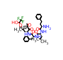 CC(C)C[C@H](NC(=O)[C@@H](N)CCc1ccccc1)C(=O)N[C@@H](Cc1ccccc1)C(=O)N[C@@H](CC(C)C)C(=O)[C@@]1(C)CO1.O=C(O)C(F)(F)F